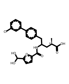 C[C@H](CC(Cc1ccc(-c2cccc(Cl)c2)cc1)NC(=O)c1ccc(C(O)O)o1)C(=O)O